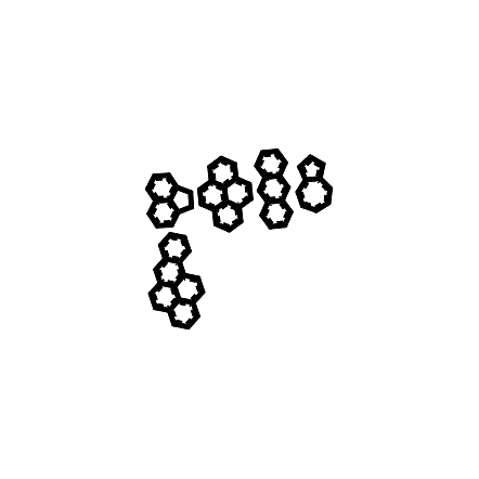 c1cc2c3c(cccc3c1)CC2.c1cc2ccc3cccc4ccc(c1)c2c34.c1ccc2c(c1)cc1ccc3cccc4ccc2c1c34.c1ccc2cc3ccccc3cc2c1.c1ccc2cccc-2cc1